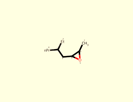 CCCC(CC)CC1OC1C